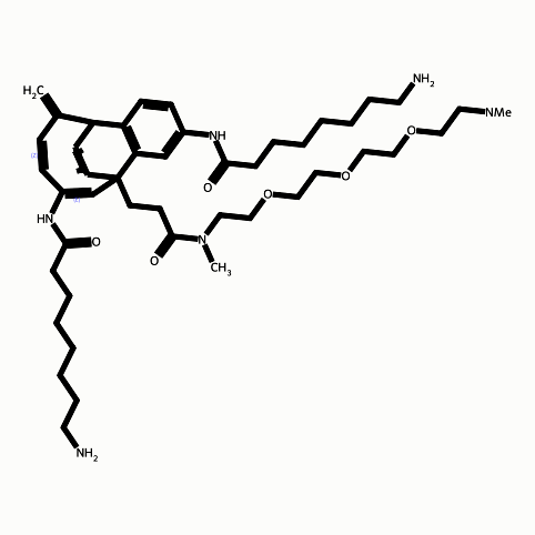 C=C1/C=C\C(NC(=O)CCCCCCCN)=C/C2(CCC(=O)N(C)CCOCCOCCOCCNC)c3cc(NC(=O)CCCCCCCN)ccc3C1C1C=CC=CC12